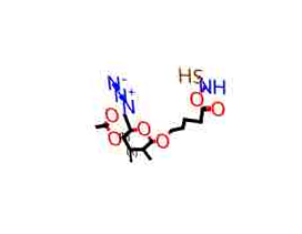 CC(=O)O[C@H]1C(CN=[N+]=[N-])OC(OCCCCC(=O)ONS)C(C)[C@H]1C